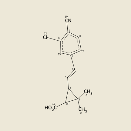 CC1(C)C(/C=C/c2ccc(C#N)c(Cl)c2)C1C(=O)O